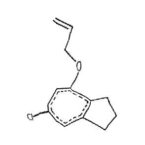 C=CCOc1cc(Cl)cc2c1CCC2